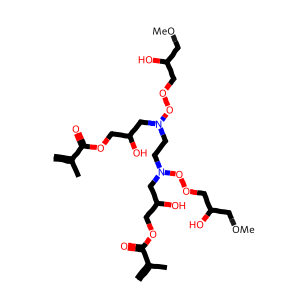 C=C(C)C(=O)OCC(O)CN(CCN(CC(O)COC(=O)C(=C)C)OOCC(O)COC)OOCC(O)COC